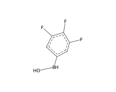 OBc1cc(F)c(F)c(F)c1